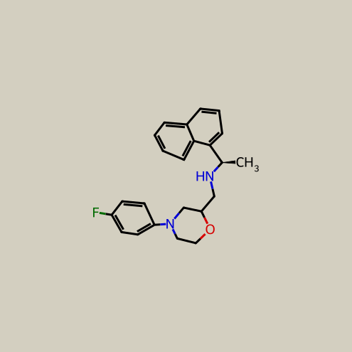 C[C@@H](NCC1CN(c2ccc(F)cc2)CCO1)c1cccc2ccccc12